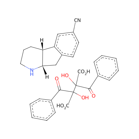 N#Cc1ccc2c(c1)[C@H]1CCCN[C@H]1C2.O=C(O)C(O)(C(=O)c1ccccc1)C(O)(C(=O)O)C(=O)c1ccccc1